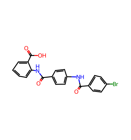 O=C(Nc1ccc(C(=O)Nc2ccccc2C(=O)O)cc1)c1ccc(Br)cc1